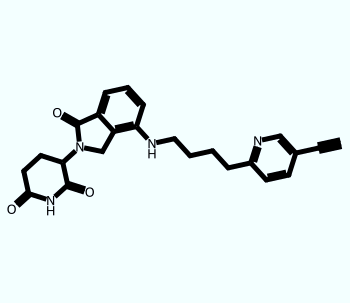 C#Cc1ccc(CCCCNc2cccc3c2CN(C2CCC(=O)NC2=O)C3=O)nc1